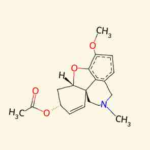 COc1ccc2c3c1O[C@H]1C[C@@H](OC(C)=O)C=C[C@@]31CCN(C)C2